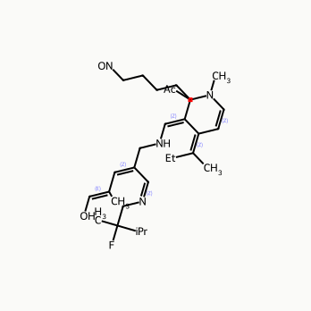 CC/C(C)=C(/C=C\N(C)CCCCCN=O)C(=C/NCC(/C=N\CC(C)(F)C(C)C)=C/C(C)=C/O)\CC(C)=O